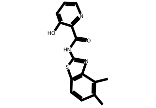 Cc1ccc2sc(NC(=O)c3ncccc3O)nc2c1C